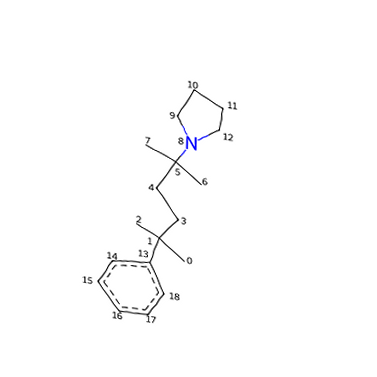 CC(C)(CCC(C)(C)N1CCCC1)c1ccccc1